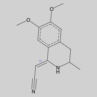 COc1cc2c(cc1OC)/C(=C/C#N)NC(C)C2